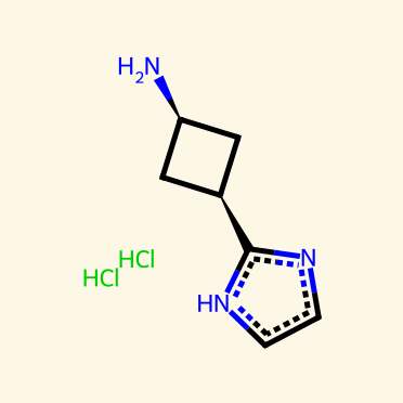 Cl.Cl.N[C@H]1C[C@@H](c2ncc[nH]2)C1